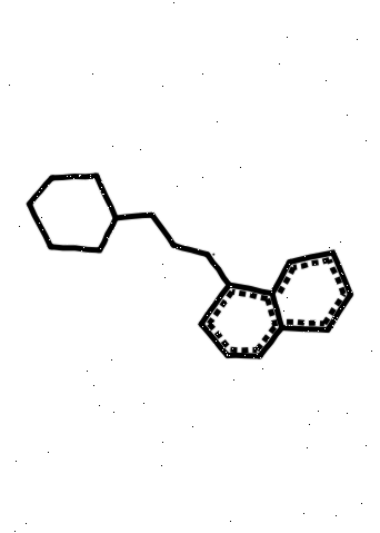 [CH](CCC1CCCCC1)c1cccc2ccccc12